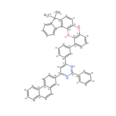 CC1(C)c2ccccc2-c2c1ccc1c2Oc2c(cccc2-c2cccc(-c3cc(-c4ccc5c(ccc6ccccc65)c4)nc(-c4ccccc4)n3)c2)O1